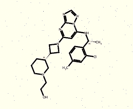 Cc1ccc([C@@H](C)Nc2cc(N3CC([C@H]4CCCN(CCO)C4)C3)nc3ncnn23)c(Cl)c1